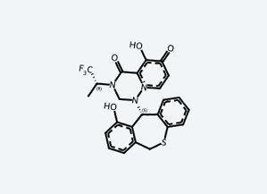 C[C@@H](N1CN([C@@H]2c3ccccc3SCc3cccc(O)c32)n2ccc(=O)c(O)c2C1=O)C(F)(F)F